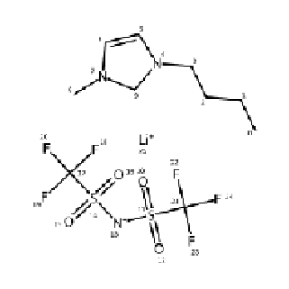 CCCCN1C=CN(C)C1.O=S(=O)([N-]S(=O)(=O)C(F)(F)F)C(F)(F)F.[Li+]